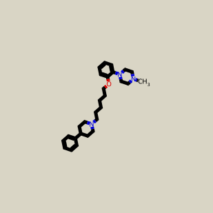 CN1CCN(c2ccccc2OCCCCCCN2CCC(c3ccccc3)CC2)CC1